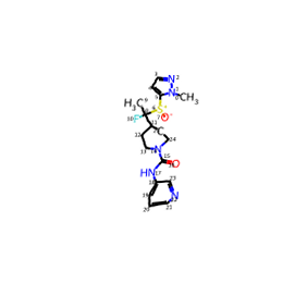 Cn1nccc1[S+]([O-])C(C)(F)C1CCN(C(=O)Nc2cccnc2)CC1